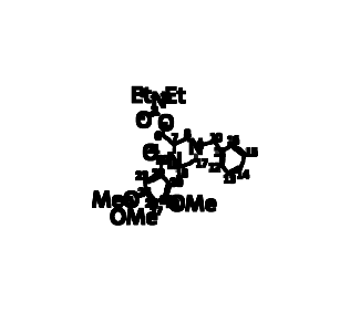 CCN(CC)C(=O)OCC1CN(Cc2ccccc2)CCN1C(=O)c1cc(OC)c(OC)c(OC)c1